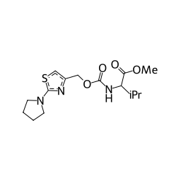 COC(=O)C(NC(=O)OCc1csc(N2CCCC2)n1)C(C)C